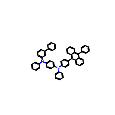 c1ccc(-c2cccc(N(c3ccccc3)c3ccc(N(c4ccccc4)c4ccc(-c5c6ccccc6c(-c6ccccc6)c6ccccc56)cc4)cc3)c2)cc1